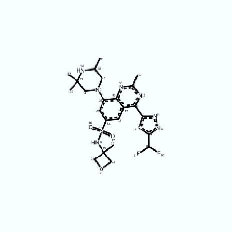 Cc1nc(-c2nnc(C(F)F)s2)c2cc(S(=O)(=O)NC3(C)COC3)cc(N3CC(C)NC(C)(C)C3)c2n1